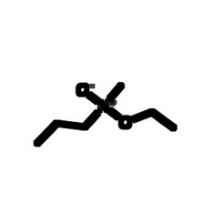 CCC[N+](C)([O-])OCC